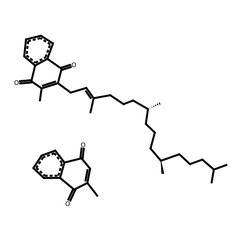 CC1=C(C/C=C(\C)CCC[C@H](C)CCC[C@H](C)CCCC(C)C)C(=O)c2ccccc2C1=O.CC1=CC(=O)c2ccccc2C1=O